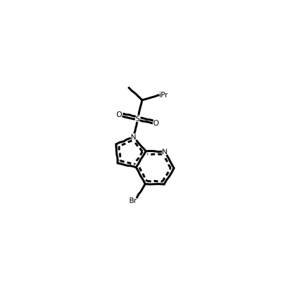 CC(C)C(C)S(=O)(=O)n1ccc2c(Br)ccnc21